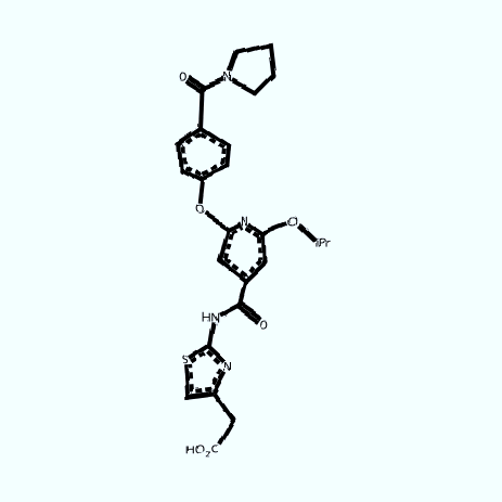 CC(C)Oc1cc(C(=O)Nc2nc(CC(=O)O)cs2)cc(Oc2ccc(C(=O)N3CCCC3)cc2)n1